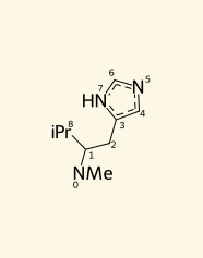 CNC(Cc1cnc[nH]1)C(C)C